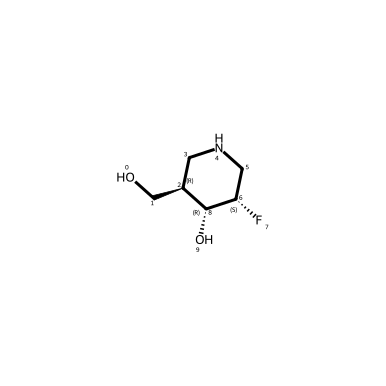 OC[C@H]1CNC[C@H](F)[C@@H]1O